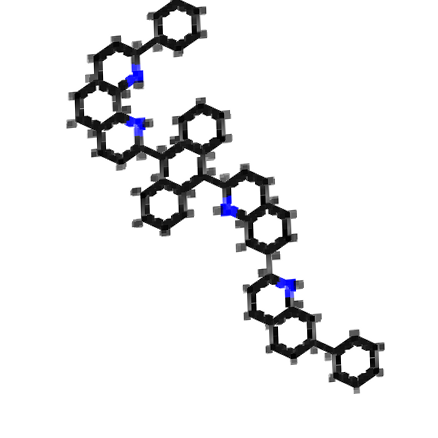 c1ccc(-c2ccc3ccc(-c4ccc5ccc(-c6c7ccccc7c(-c7ccc8ccc9ccc(-c%10ccccc%10)nc9c8n7)c7ccccc67)nc5c4)nc3c2)cc1